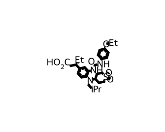 CCOc1ccc(NC(=O)Nc2cc([C@@H](CC)CC(=O)O)ccc2N(CC(C)C)C2CCS(=O)(=O)CC2)cc1